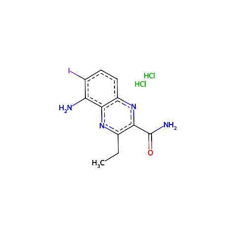 CCc1nc2c(N)c(I)ccc2nc1C(N)=O.Cl.Cl